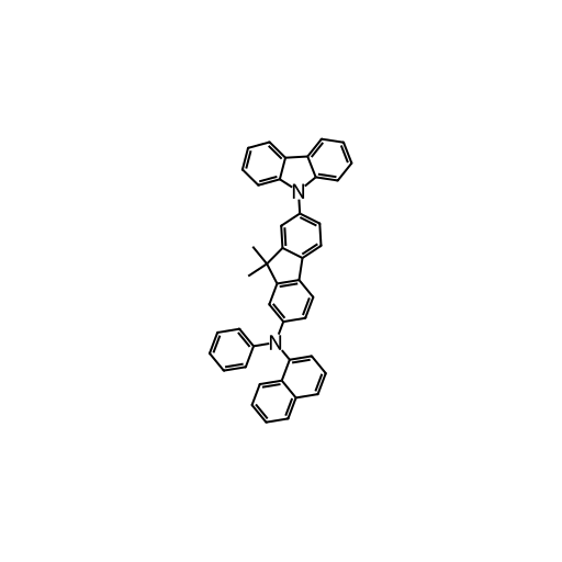 CC1(C)c2cc(N(c3ccccc3)c3cccc4ccccc34)ccc2-c2ccc(-n3c4ccccc4c4ccccc43)cc21